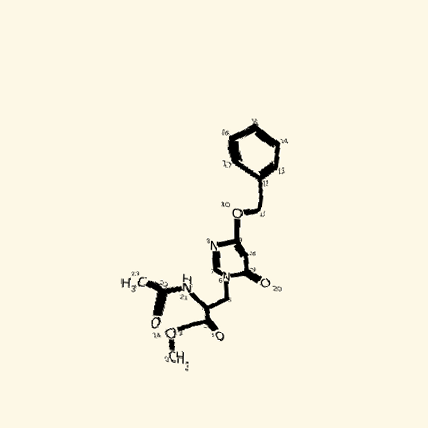 COC(=O)C(Cn1cnc(OCc2ccccc2)cc1=O)NC(C)=O